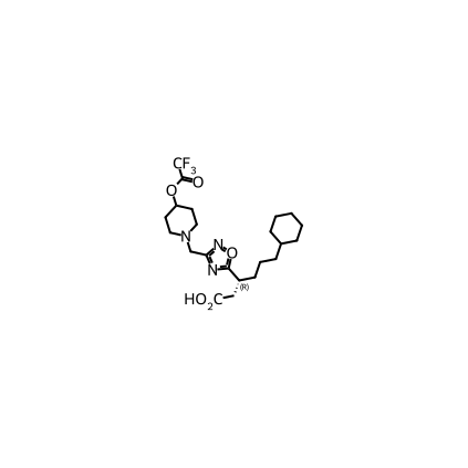 O=C(O)C[C@@H](CCCC1CCCCC1)c1nc(CN2CCC(OC(=O)C(F)(F)F)CC2)no1